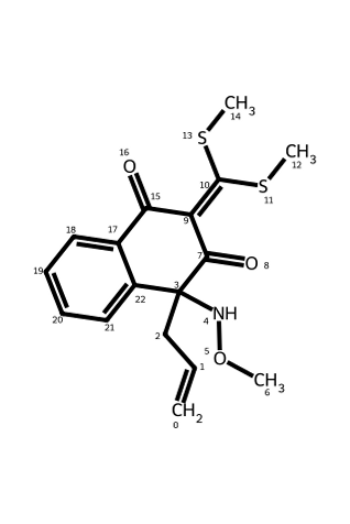 C=CCC1(NOC)C(=O)C(=C(SC)SC)C(=O)c2ccccc21